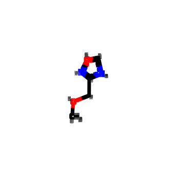 COCc1n[c]on1